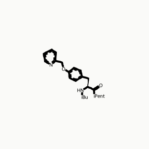 CCCC(C)C(=O)[C@H](Cc1ccc(OCc2ccccn2)cc1)NC(C)CC